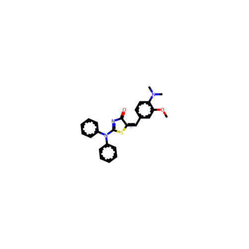 COc1cc(/C=C2/SC(N(c3ccccc3)c3ccccc3)=NC2=O)ccc1N(C)C